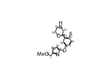 COCc1nc(Oc2ccc(F)c([C@@H]3CNCCO3)c2)cs1